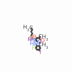 CCCCCS(=O)(=O)Nc1cc(C)c(=O)n(C)c1Nc1ccc(I)cc1F